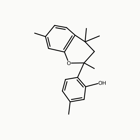 Cc1ccc(C2(C)CC(C)(C)c3ccc(C)cc3O2)c(O)c1